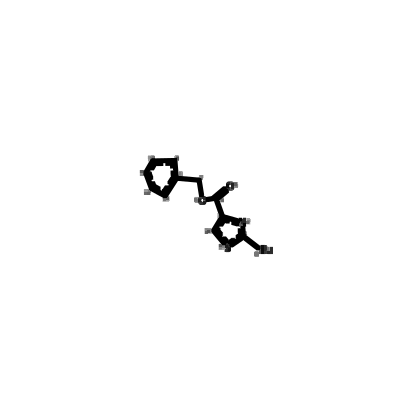 CCC(C)c1nc(C(=O)OCc2ccccc2)cs1